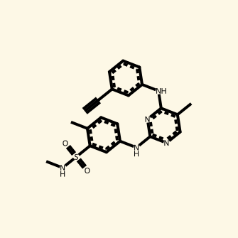 C#Cc1cccc(Nc2nc(Nc3ccc(C)c(S(=O)(=O)NC)c3)ncc2C)c1